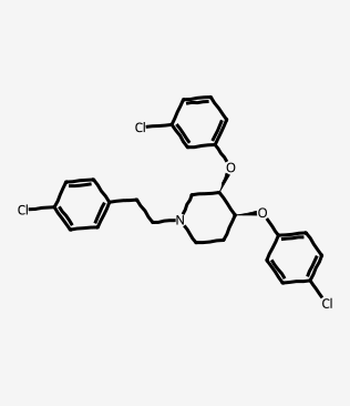 Clc1ccc(CCN2CC[C@H](Oc3ccc(Cl)cc3)[C@H](Oc3cccc(Cl)c3)C2)cc1